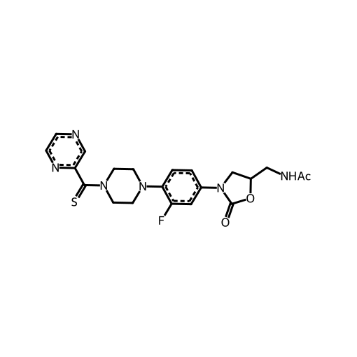 CC(=O)NCC1CN(c2ccc(N3CCN(C(=S)c4cnccn4)CC3)c(F)c2)C(=O)O1